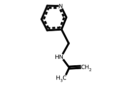 C=C(C)NCc1cccnc1